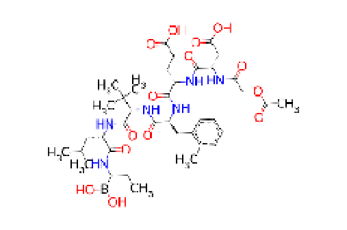 CCC(NC(=O)[C@H](CC(C)C)NC(=O)[C@@H](NC(=O)[C@H](Cc1ccccc1C)NC(=O)[C@H](CCC(=O)O)NC(=O)[C@H](CC(=O)O)NC(=O)COC(C)=O)C(C)(C)C)B(O)O